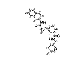 O=C(NCc1ccc(F)cn1)c1cccc([C@@H]2C[C@H]2C(=O)Nc2ccc3cnccc3c2)c1